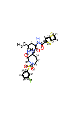 CC(C)CC(NC(=O)c1cc2sccc2s1)C(=O)NC1CCCN(S(=O)(=O)c2cccc(F)c2)CC1=O